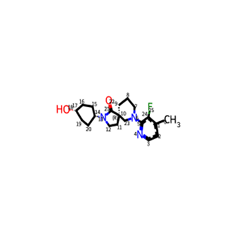 Cc1ccnc(N2CCC[C@@]3(CCN([C@H]4CC[C@@H](O)CC4)C3=O)C2)c1F